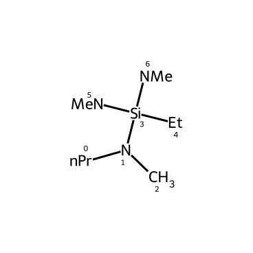 CCCN(C)[Si](CC)(NC)NC